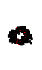 CCCC[C@H]1C(=O)N(C)CC(=O)N[C@@H](CC(N)=O)C(=O)N[C@@H](C(C)C)C(=O)N(C)[C@@H](Cc2ccccc2)C(=O)N[C@@H](Cc2ccc(O)cc2)C(=O)N(C)CC(=O)N[C@@H](Cc2c[nH]c3ncccc23)C(=O)N[C@@H](Cc2ccc(O)cc2)C(=O)N[C@@H](CC(C)C)C(=O)N[C@H](C(=O)NCC(N)=O)CSCC(=O)N[C@@H](Cc2ccccc2)C(=O)N(C)[C@@H](Cc2ccccc2)C(=O)N1C